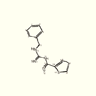 N=C(NCc1ccccc1)NC(=O)c1cccs1